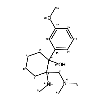 CNC1(CN(C)C)CCCCC1(O)c1cccc(OC)c1